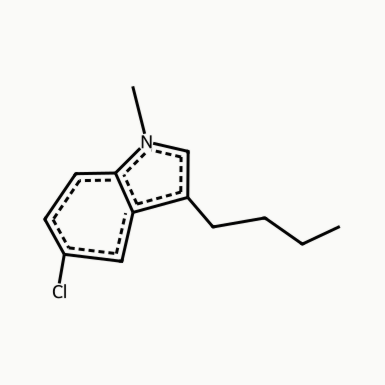 CCCCc1cn(C)c2ccc(Cl)cc12